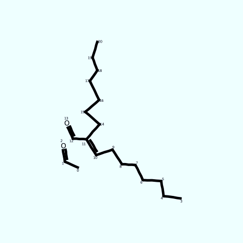 CC=O.CCCCCCC/C=C(/C=O)CCCCCCC